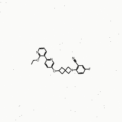 CCOc1ncccc1-c1ccc(OC2CC3(C2)CN(c2ccc(F)cc2C#N)C3)cn1